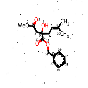 COC(=O)C[C@](O)(CC=C(C)C)C(=O)OCc1ccccc1